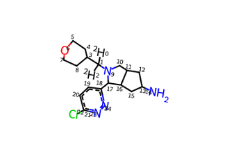 [2H]C([2H])(C1CCOCC1)N1CC2CC(N)CC2C1c1ccc(Cl)nn1